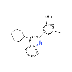 Cc1cc(-c2cc(C3CCCCC3)c3ccccc3n2)cc(C(C)(C)C)c1